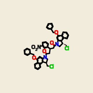 O=C(CC(CC(=O)N1C[C@@H](CCl)c2c1cc(OCc1ccccc1)c1ccccc21)c1cccc([N+](=O)[O-])c1)N1C[C@@H](CCl)c2c1cc(OCc1ccccc1)c1ccccc21